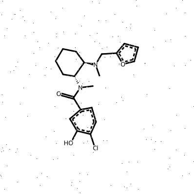 CN(Cc1ccco1)[C@@H]1CCCC[C@H]1N(C)C(=O)c1ccc(Cl)c(O)c1